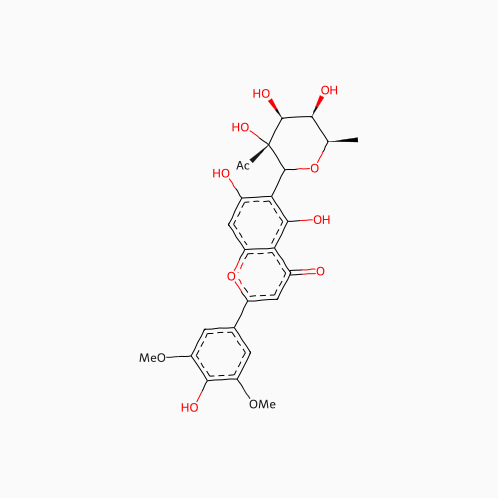 COc1cc(-c2cc(=O)c3c(O)c(C4O[C@H](C)[C@H](O)[C@H](O)[C@]4(O)C(C)=O)c(O)cc3o2)cc(OC)c1O